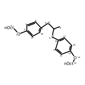 CCCCCCCCOc1ccc([I+]C(C)[I+]c2ccc(OCCCCCCCC)cc2)cc1